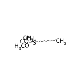 CCCCCCCCCCCCSCCCC(=O)C1C(C)C=CCC1(C)CC